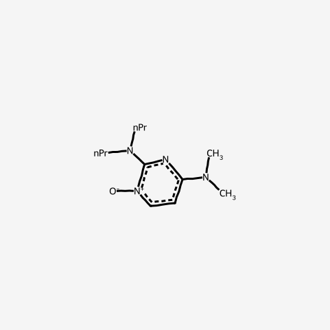 CCCN(CCC)c1nc(N(C)C)cc[n+]1[O-]